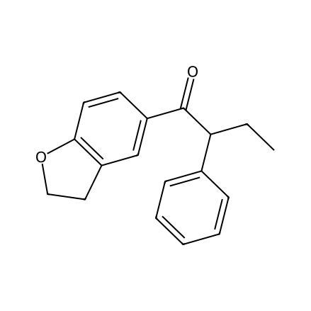 CCC(C(=O)c1ccc2c(c1)CCO2)c1ccccc1